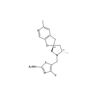 CC(=O)Nc1nc(F)c(CN2C[C@@]3(Cc4cc(C)ncc4O3)C[C@@H]2C)s1